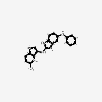 FC(F)(F)c1ccc2[nH]cc(Nc3nc4cc(Oc5ccccc5)ccc4[nH]3)c2n1